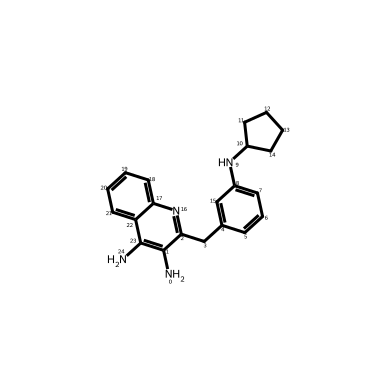 Nc1c(Cc2cccc(NC3CCCC3)c2)nc2ccccc2c1N